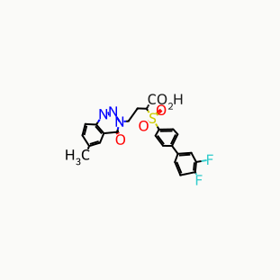 Cc1ccc2nnn(CCC(C(=O)O)S(=O)(=O)c3ccc(-c4ccc(F)c(F)c4)cc3)c(=O)c2c1